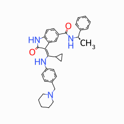 C[C@@H](NC(=O)c1ccc2c(c1)/C(=C(/Nc1ccc(CN3CCCCC3)cc1)C1CC1)C(=O)N2)c1ccccc1